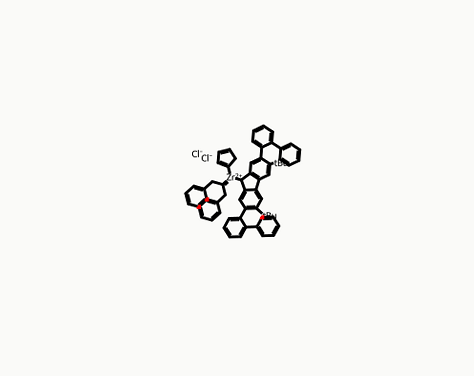 CC(C)(C)c1cc2c(cc1-c1ccccc1-c1ccccc1)[CH]([Zr+2]([C]1=CC=CC1)=[C](Cc1ccccc1)Cc1ccccc1)c1cc(-c3ccccc3-c3ccccc3)c(C(C)(C)C)cc1-2.[Cl-].[Cl-]